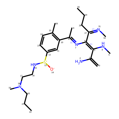 C=C(N)/C(NC)=C(\N=C(/C)c1cc([S+]([O-])NCCN(C)CCC)ccc1C)C(/CCC)=N\C